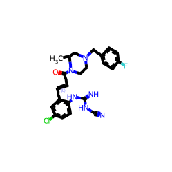 CC1CN(Cc2ccc(F)cc2)CCN1C(=O)/C=C/c1cc(Cl)ccc1NC(=N)NC#N